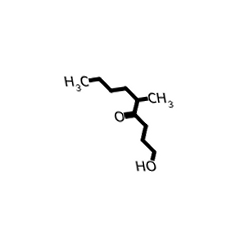 CCCCC(C)C(=O)CCCO